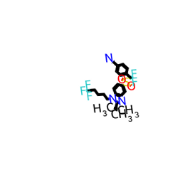 CC(C)(C)c1nc2cc(S(=O)(=O)C(F)(F)c3ccc(C#N)cc3)ccc2n1CCCCC(F)(F)F